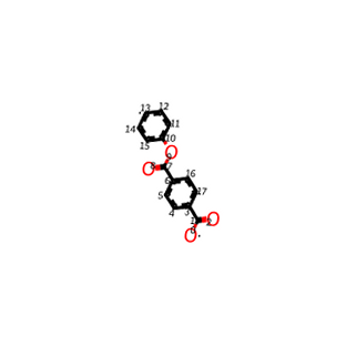 [O]C(=O)c1ccc(C(=O)Oc2cc[c]cc2)cc1